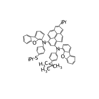 CC(C)Sc1ccc(N(c2cc(N(c3ccc([Si](C)(C)C)cc3)c3cccc4c3oc3ccccc34)c3ccc4cc(C(C)C)cc5ccc2c3c54)c2cccc3c2oc2ccccc23)cc1